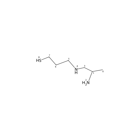 CC(N)CNCCCS